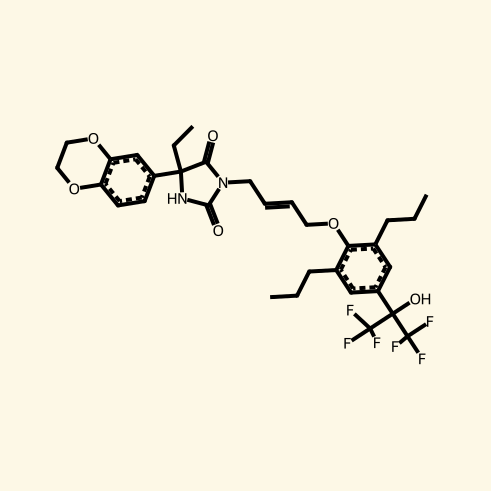 CCCc1cc(C(O)(C(F)(F)F)C(F)(F)F)cc(CCC)c1OCC=CCN1C(=O)NC(CC)(c2ccc3c(c2)OCCO3)C1=O